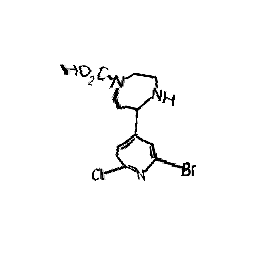 O=C(O)N1CCNC(c2cc(Cl)nc(Br)c2)C1